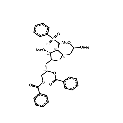 COC(C[C@@H]1OC(C[C@@H](COC(=O)c2ccccc2)OC(=O)c2ccccc2)[C@H](OC)[C@H]1CS(=O)(=O)c1ccccc1)OC